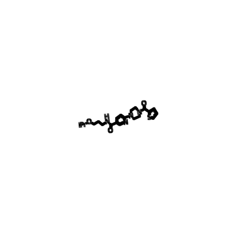 CC(C)OCCCNC(=O)c1ccc(N2CCN(C(=O)c3cccs3)CC2)nc1